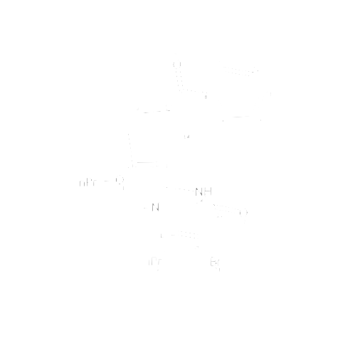 CCCOc1ccc(C(=O)c2ccccc2)cc1-c1nc(C(C)C)c(Br)c(=O)[nH]1